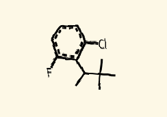 CC(c1c(F)cccc1Cl)C(C)(C)C